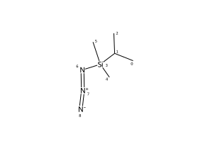 CC(C)[Si](C)(C)N=[N+]=[N-]